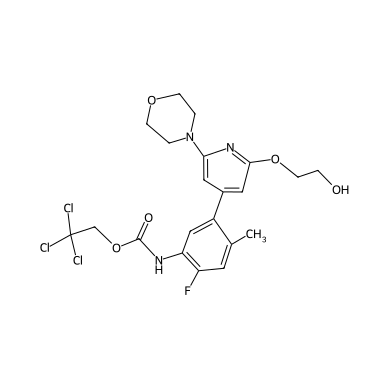 Cc1cc(F)c(NC(=O)OCC(Cl)(Cl)Cl)cc1-c1cc(OCCO)nc(N2CCOCC2)c1